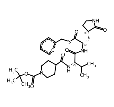 CC(C)[C@H](NC(=O)C1CCN(C(=O)OC(C)(C)C)CC1)C(=O)N[C@@H](C[C@@H]1CCNC1=O)C(=O)SCc1ccccc1